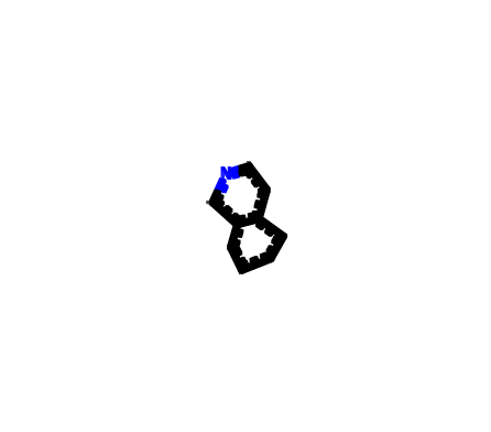 [c]1cc2ccccc2[c]n1